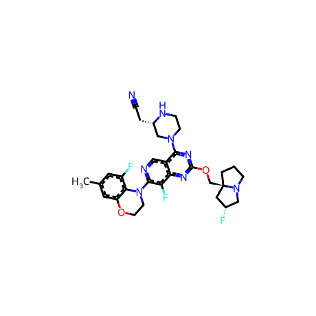 Cc1cc(F)c2c(c1)OCCN2c1ncc2c(N3CCN[C@@H](CC#N)C3)nc(OC[C@@]34CCCN3C[C@H](F)C4)nc2c1F